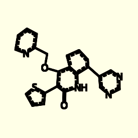 O=c1[nH]c2c(-c3cncnc3)cccc2c(OCc2ccccn2)c1-c1cccs1